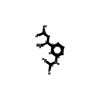 N[C@@H](CC(F)F)c1cccc(OC(F)F)c1